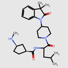 CN[C@@H]1CC[C@H](C(=O)NC(CC(C)C)C(=O)N2CCC(N3C(=O)C(C)(C)c4ccccc43)CC2)C1